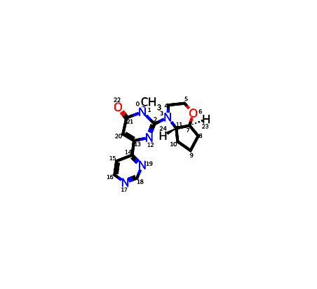 Cn1c(N2CCO[C@H]3CCC[C@@H]32)nc(-c2ccncn2)cc1=O